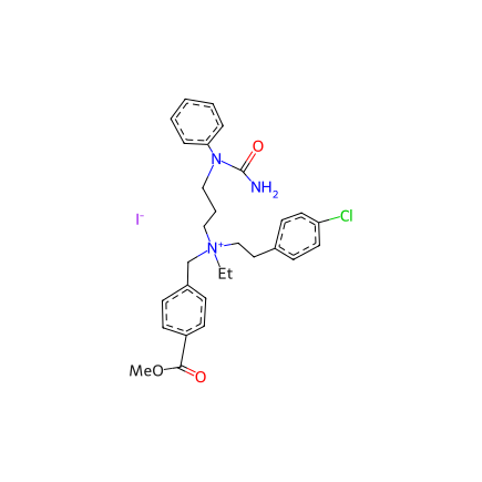 CC[N+](CCCN(C(N)=O)c1ccccc1)(CCc1ccc(Cl)cc1)Cc1ccc(C(=O)OC)cc1.[I-]